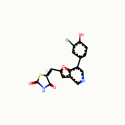 O=C1NC(=O)/C(=C\c2cc3cncc(-c4ccc(O)c(Cl)c4)c3o2)S1